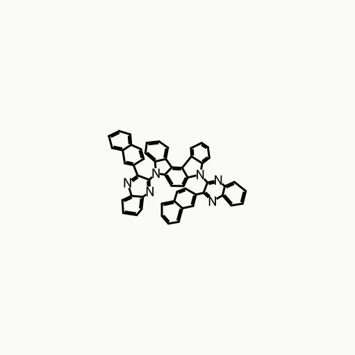 c1ccc2cc(-c3nc4ccccc4nc3-n3c4ccccc4c4c5c6ccccc6n(-c6nc7ccccc7nc6-c6ccc7ccccc7c6)c5ccc43)ccc2c1